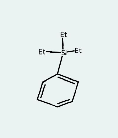 CC[Si](CC)(CC)c1cc[c]cc1